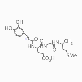 CSCCC(C)NC(=O)CNC(=O)C(CCC(=O)O)NC(=O)/C=C/c1ccc(O)c(O)c1